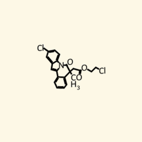 CC1(CC(=O)OCCCl)C(=O)n2c(cc3cc(Cl)ccc32)-c2ccccc21